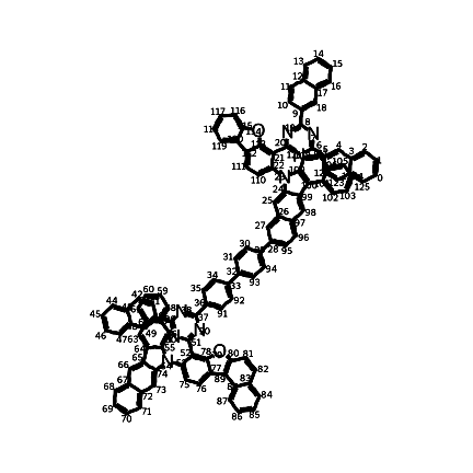 c1ccc2cc(-c3nc(-c4ccc5ccccc5c4)nc(-c4c(-n5c6cc7cc(-c8ccc(-c9ccc(-c%10nc(-c%11ccc%12ccccc%12c%11)nc(-c%11c(-n%12c%13cc%14ccccc%14cc%13c%13cc%14ccccc%14cc%13%12)ccc%12c%11oc%11ccc%13ccccc%13c%11%12)n%10)cc9)cc8)ccc7cc6c6c7ccccc7ccc65)ccc5c4oc4ccccc45)n3)ccc2c1